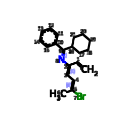 C=CC(=C\C=C(/C)Br)/N=C(/c1ccccc1)C1CCCCC1